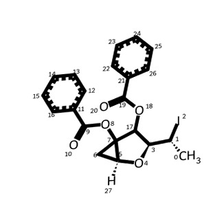 C[C@@H](I)[C@H]1O[C@H]2CC2(OC(=O)c2ccccc2)C1OC(=O)c1ccccc1